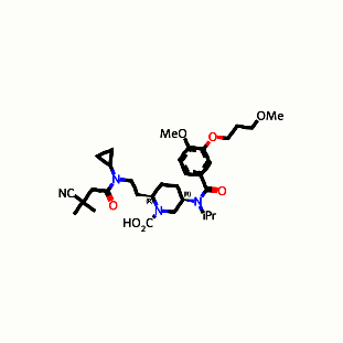 COCCCOc1cc(C(=O)N(C(C)C)[C@@H]2CC[C@H](CCN(C(=O)CC(C)(C)C#N)C3CC3)N(C(=O)O)C2)ccc1OC